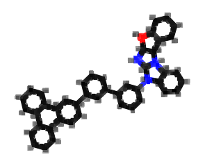 c1cc(-c2cccc(-n3c4ccccc4n4c5c(nc34)oc3ccccc35)c2)cc(-c2ccc3c4ccccc4c4ccccc4c3c2)c1